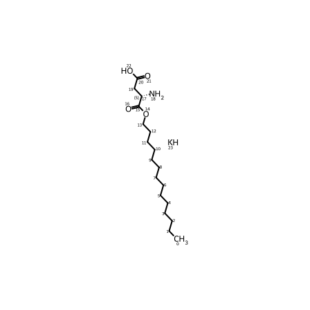 CCCCCCCCCCCCCCOC(=O)[C@@H](N)CC(=O)O.[KH]